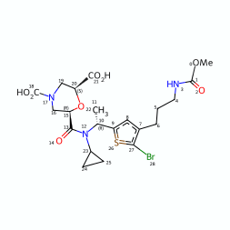 COC(=O)NCCCc1cc([C@@H](C)N(C(=O)[C@H]2CN(C(=O)O)C[C@@H](C(=O)O)O2)C2CC2)sc1Br